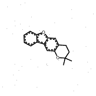 CC1(C)CCc2cc3oc4ccccc4c3cc2O1